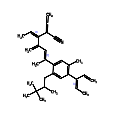 C=C=C(C#N)/C(=C/C)C(=C)/C=C(\C)c1cc(C)c(/C(C=C)=C/C)cc1CC(C)C(C)(C)C